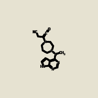 CN(c1ncnc2[nH]ccc12)N1CCCN(C(=C=O)CC#N)CC1